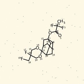 CC(F)(F)C(=O)OC12CC3CC(C1)C1(OCC(F)(CF)CO1)C(C3)C2